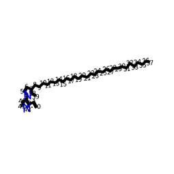 C=CC1=C(n2ccc(CCCCCCCCCCCCCCCCCCCCCCCCCCCCCC)c2C)C=C[N]1